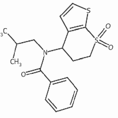 CC(C)CN(C(=O)c1ccccc1)C1CCS(=O)(=O)c2sccc21